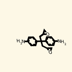 Nc1ccc(C(CC2CO2)(CC2CO2)c2ccc(N)cc2)cc1